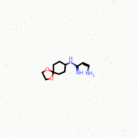 N=C(/C=C\N)NC1CCC2(CC1)OCCO2